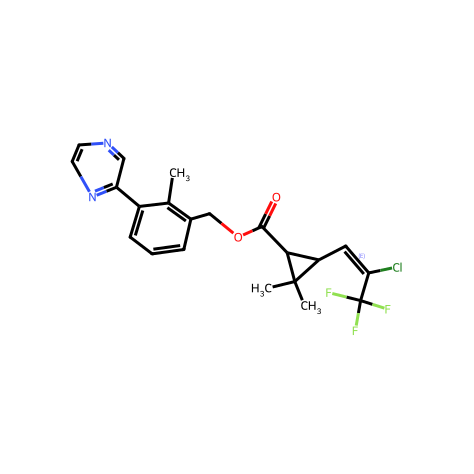 Cc1c(COC(=O)C2C(/C=C(/Cl)C(F)(F)F)C2(C)C)cccc1-c1cnccn1